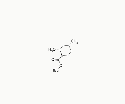 C[C@@H]1CCN(C(=O)OC(C)(C)C)[C@H](C)C1